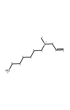 C=CCN(C)CCCCCCO